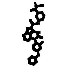 Cc1cc(Oc2ccccc2)ccc1N1C(=O)Nc2c(C(=O)N[C@@H]3CCCN(C(=O)[C@@H](C)O)C3)sc3nccc1c23